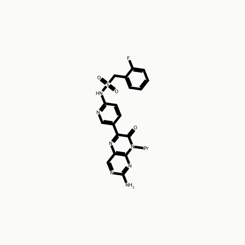 CC(C)n1c(=O)c(-c2ccc(NS(=O)(=O)Cc3ccccc3F)nc2)nc2cnc(N)nc21